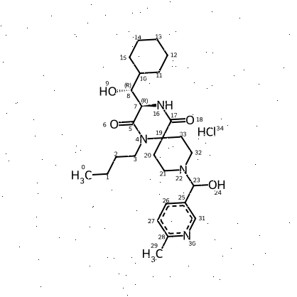 CCCCN1C(=O)[C@@H]([C@H](O)C2CCCCC2)NC(=O)C12CCN(C(O)c1ccc(C)nc1)CC2.Cl